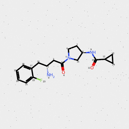 N[C@@H](CC(=O)N1CC[C@@H](NC(=O)C2CC2)C1)Cc1ccccc1F